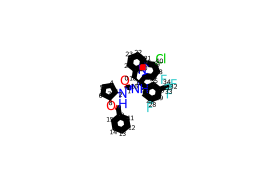 O=C(N[C@H]1CCC[C@@H]1OCc1ccccc1)N[C@@](Cc1ccccc1)(c1cc(F)cc(C(F)(F)F)c1)c1ccc(Cl)cn1